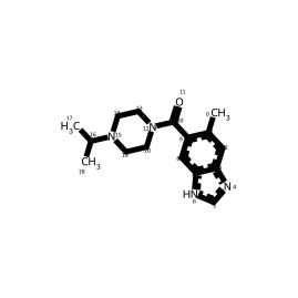 Cc1cc2nc[nH]c2cc1C(=O)N1CCN(C(C)C)CC1